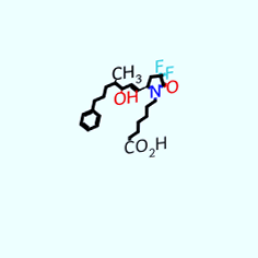 C[C@@H](CCCc1ccccc1)[C@@H](O)C=C[C@H]1CC(F)(F)C(=O)N1CCCCCCC(=O)O